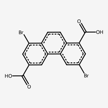 O=C(O)c1cc(Br)c2ccc3c(C(=O)O)cc(Br)cc3c2c1